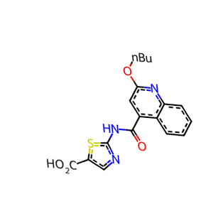 CCCCOc1cc(C(=O)Nc2ncc(C(=O)O)s2)c2ccccc2n1